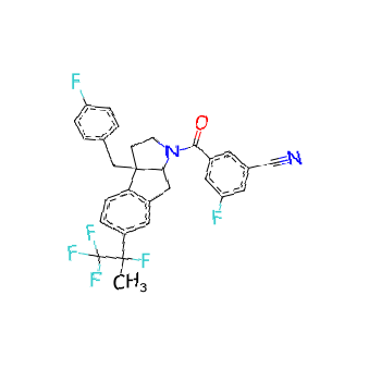 CC(F)(c1ccc2c(c1)CC1N(C(=O)c3cc(F)cc(C#N)c3)CCC21Cc1ccc(F)cc1)C(F)(F)F